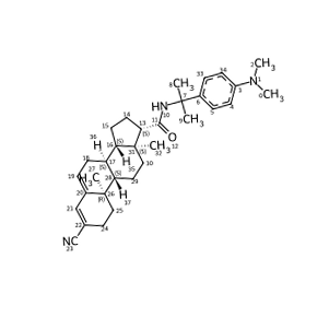 CN(C)c1ccc(C(C)(C)NC(=O)[C@H]2CC[C@H]3[C@@H]4CC=C5C=C(C#N)CC[C@]5(C)[C@H]4CC[C@]23C)cc1